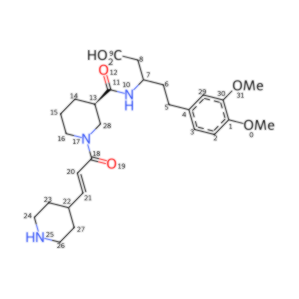 COc1ccc(CCC(CC(=O)O)NC(=O)[C@@H]2CCCN(C(=O)/C=C/C3CCNCC3)C2)cc1OC